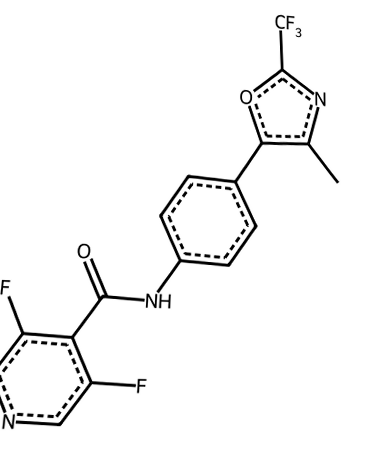 Cc1nc(C(F)(F)F)oc1-c1ccc(NC(=O)c2c(F)cncc2F)cc1